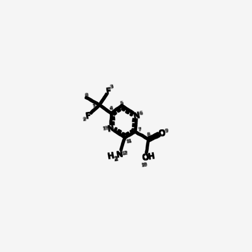 CC(F)(F)c1cnc(C(=O)O)c(N)n1